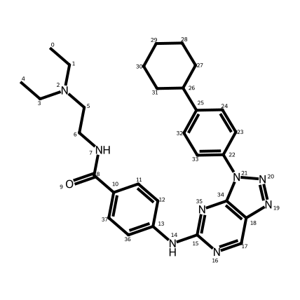 CCN(CC)CCNC(=O)c1ccc(Nc2ncc3nnn(-c4ccc(C5CCCCC5)cc4)c3n2)cc1